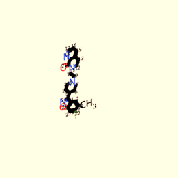 Cc1cc2c(C3CCN(CCN4CCc5cccnc5C4=O)CC3)noc2cc1F